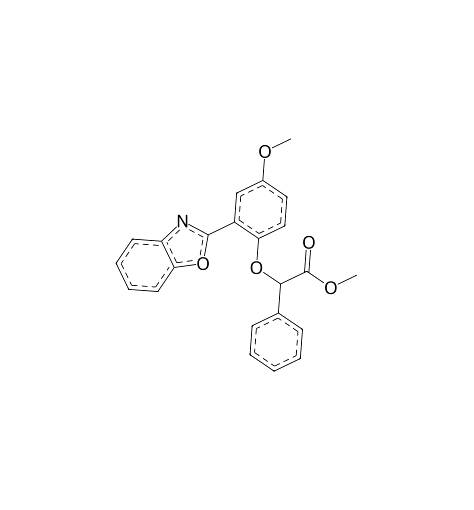 COC(=O)C(Oc1ccc(OC)cc1-c1nc2ccccc2o1)c1ccccc1